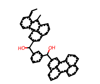 C/C=c1/cccc2c1c(C)c1cccc3cc(C(O)c4cccc(C(O)c5cc6cccc7c8cccc9cccc(c(c5)c67)c98)c4)cc2c31